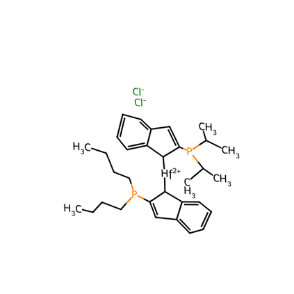 CCCCP(CCCC)C1=Cc2ccccc2[CH]1[Hf+2][CH]1C(P(C(C)C)C(C)C)=Cc2ccccc21.[Cl-].[Cl-]